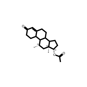 CC(=O)O[C@H]1CCC2C3CCC4=CC(=O)CCC4C3[C@@H](C)C[C@@]21C